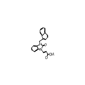 O=C(O)C=Cn1c(=O)n(Cc2cccc3ccccc23)c2ccccc21